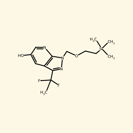 CC(F)(F)c1nn(COCC[Si](C)(C)C)c2ncc(O)cc12